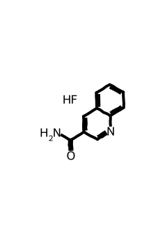 F.NC(=O)c1cnc2ccccc2c1